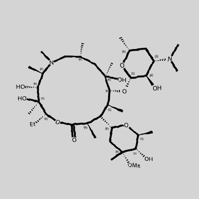 CC[C@H]1OC(=O)[C@H](C)C([C@H]2C[C@@](C)(OC)[C@@H](O)[C@H](C)O2)[C@H](C)[C@@H](O[C@@H]2O[C@H](C)C[C@H](N(C)C)[C@H]2O)[C@](C)(O)C[C@@H](C)CN(C)[C@H](C)[C@@H](O)[C@]1(C)O